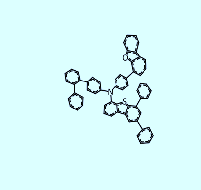 c1ccc(-c2cc(-c3ccccc3)c3sc4c(N(c5ccc(-c6ccccc6-c6ccccc6)cc5)c5ccc(-c6cccc7c6oc6ccccc67)cc5)cccc4c3c2)cc1